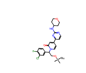 CC(C)(C)[Si](C)(C)OCC(c1ccc(F)c(Cl)c1)n1ccc(-c2ccnc(NC3CCOCC3)n2)cc1=O